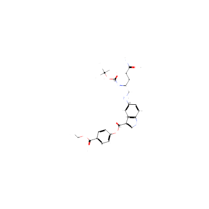 CCOC(=O)c1ccc(OC(=O)c2c[nH]c3ccc(NC[C@H](CCC(N)=O)NC(=O)OC(C)(C)C)cc23)cc1